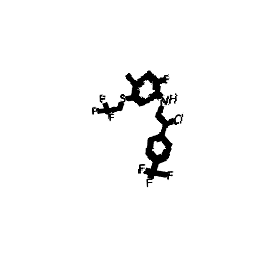 Cc1cc(F)c(NCC(Cl)c2ccc(C(F)(F)F)cc2)cc1SCC(F)(F)F